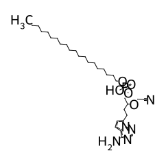 CCCCCCCCCCCCCCCCCCCCOP(=O)(O)OCC(CCc1ccc2c(N)ncnn12)OCC#N